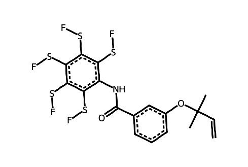 C=CC(C)(C)Oc1cccc(C(=O)Nc2c(SF)c(SF)c(SF)c(SF)c2SF)c1